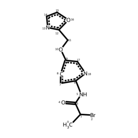 CC(Br)C(=O)Nc1ccc(OCc2ncco2)cn1